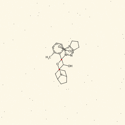 Cc1cccc(C)c1COC1CC2CCC(C1)N2CC(O)Cn1nc2n(c1=O)CCC2